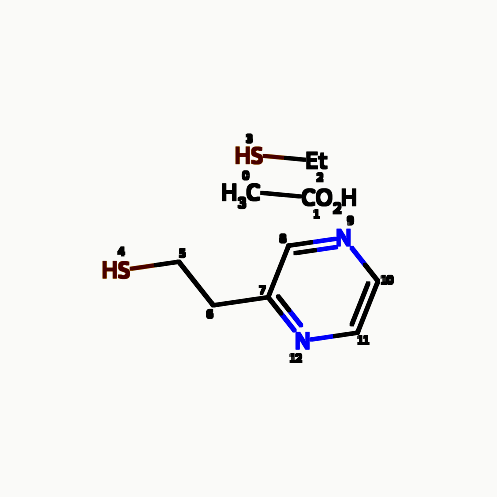 CC(=O)O.CCS.SCCc1cnccn1